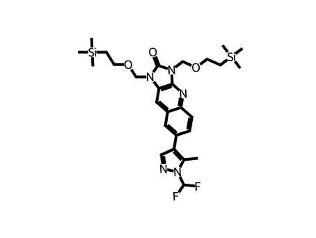 Cc1c(-c2ccc3nc4c(cc3c2)n(COCC[Si](C)(C)C)c(=O)n4COCC[Si](C)(C)C)cnn1C(F)F